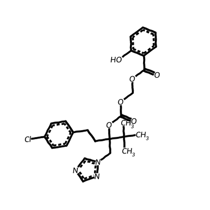 CC(C)(C)C(CCc1ccc(Cl)cc1)(Cn1cncn1)OC(=O)OCOC(=O)c1ccccc1O